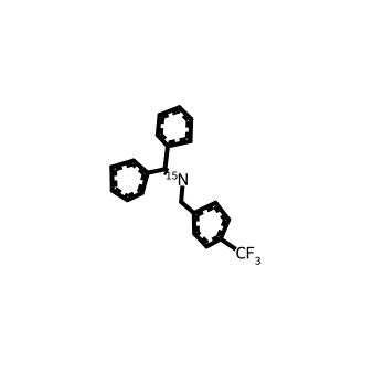 FC(F)(F)c1ccc(C[15N]=C(c2ccccc2)c2ccccc2)cc1